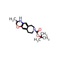 C[C@@H]1COc2cc3c(cc2N1)CCN(C(=O)OC(C)(C)C)CC3